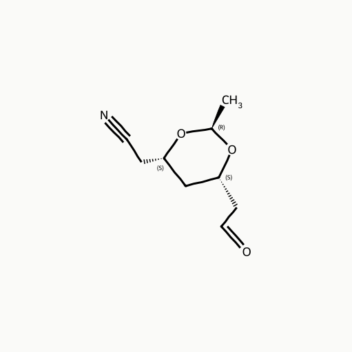 C[C@H]1O[C@H](CC=O)C[C@H](CC#N)O1